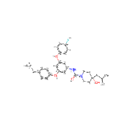 CCC(CC)CC1(O)CCN(C(=O)Nc2cc(Oc3ccc(F)cc3)cc(Oc3ccc(CC(=O)O)cc3)c2)CC1